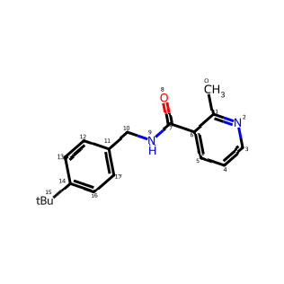 Cc1ncccc1C(=O)NCc1ccc(C(C)(C)C)cc1